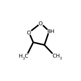 CC1BOOC1C